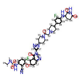 CCN(C)S(=O)(=O)Nc1ccc(F)c(Oc2ccc3ncn(-c4cnn(C5CCN(C(=O)CN6CCC(c7ccc(NC8CCC(=O)NC8=O)c(F)c7)CC6)CC5)c4)c(=O)c3c2)c1C#N